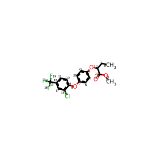 CCC(Oc1ccc(Oc2ccc(C(F)(F)F)cc2Cl)cc1)C(=O)OC